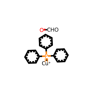 O=C[O-].[Cu+][PH](c1ccccc1)(c1ccccc1)c1ccccc1